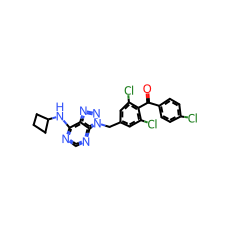 O=C(c1ccc(Cl)cc1)c1c(Cl)cc(Cn2nnc3c(NC4CCC4)ncnc32)cc1Cl